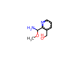 COC(N)c1ncccc1CO